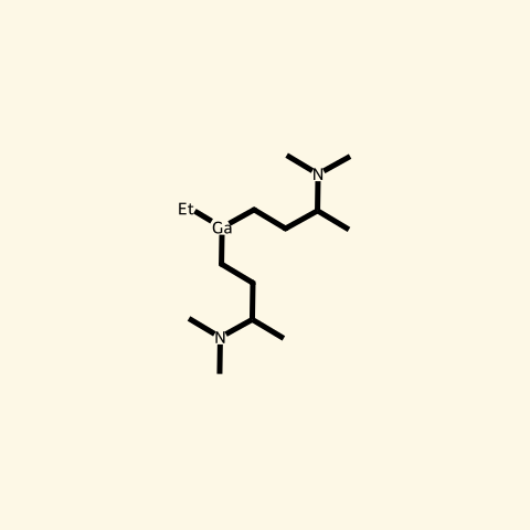 C[CH2][Ga]([CH2]CC(C)N(C)C)[CH2]CC(C)N(C)C